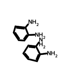 Nc1ccccc1N.Nc1ccccc1N